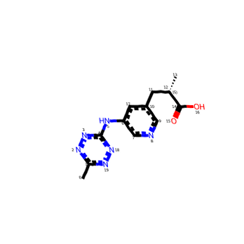 Cc1nnc(Nc2cncc(C[C@H](C)C(=O)O)c2)nn1